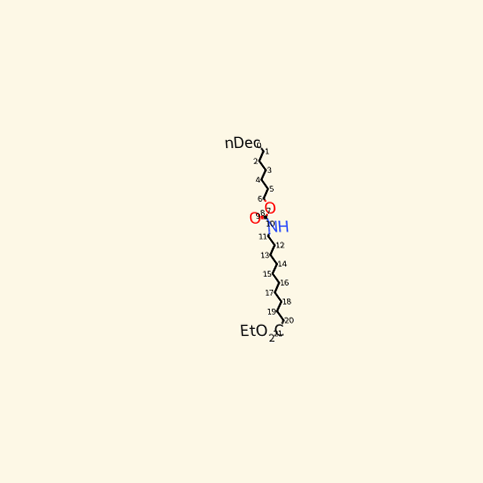 CCCCCCCCCCCCCCCCOC(=O)NCCCCCCCCCCC(=O)OCC